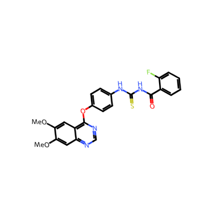 COc1cc2ncnc(Oc3ccc(NC(=S)NC(=O)c4ccccc4F)cc3)c2cc1OC